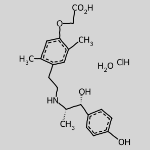 Cc1cc(OCC(=O)O)c(C)cc1CCN[C@@H](C)[C@H](O)c1ccc(O)cc1.Cl.O